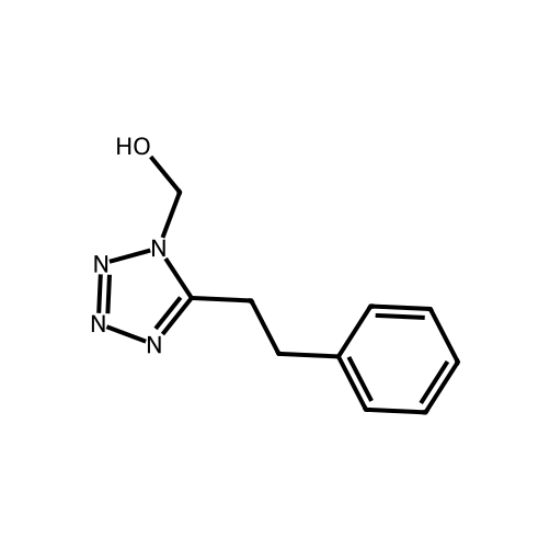 OCn1nnnc1CCc1ccccc1